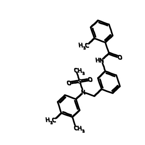 Cc1ccc(N(Cc2cccc(NC(=O)c3ccccc3C)c2)S(C)(=O)=O)cc1C